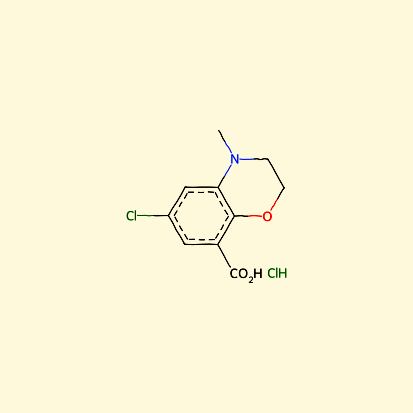 CN1CCOc2c(C(=O)O)cc(Cl)cc21.Cl